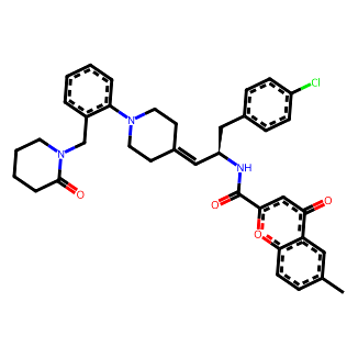 Cc1ccc2oc(C(=O)N[C@@H](C=C3CCN(c4ccccc4CN4CCCCC4=O)CC3)Cc3ccc(Cl)cc3)cc(=O)c2c1